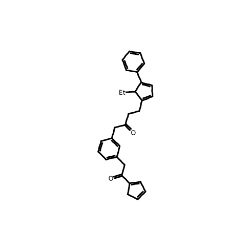 CCC1C(CCC(=O)Cc2cccc(CC(=O)C3=CC=CC3)c2)=CC=C1c1ccccc1